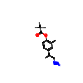 Cc1cc(C(C)CN)ccc1OC(=O)C(C)(C)C